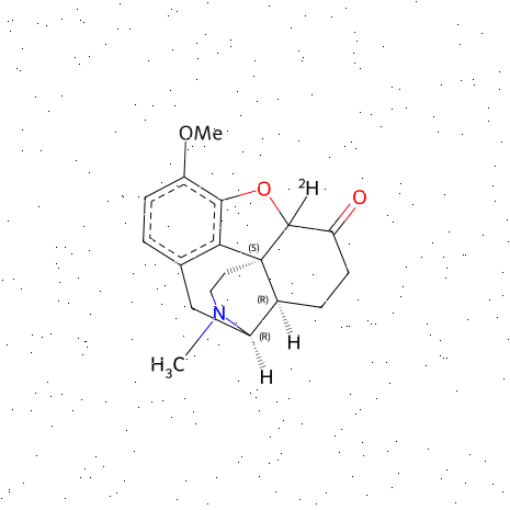 [2H]C12Oc3c(OC)ccc4c3[C@@]13CCN(C)[C@H](C4)[C@@H]3CCC2=O